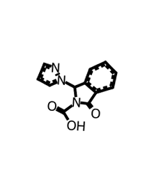 O=C(O)N1C(=O)c2ccccc2C1n1cccn1